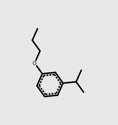 [CH2]C(C)c1cccc(OCCC)c1